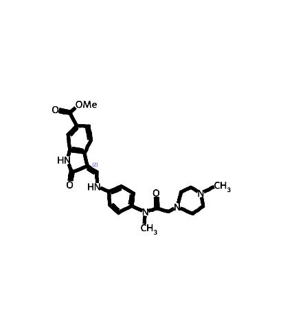 COC(=O)c1ccc2c(c1)NC(=O)/C2=C\Nc1ccc(N(C)C(=O)CN2CCN(C)CC2)cc1